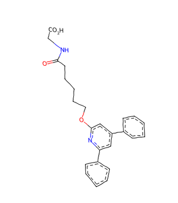 O=C(O)CNC(=O)CCCCCOc1cc(-c2ccccc2)cc(-c2ccccc2)n1